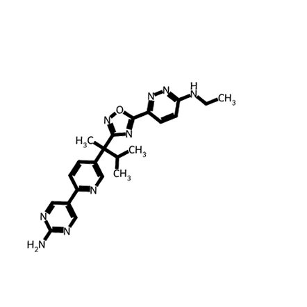 CCNc1ccc(-c2nc(C(C)(c3ccc(-c4cnc(N)nc4)nc3)C(C)C)no2)nn1